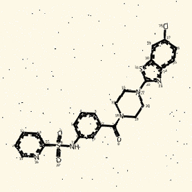 O=C(c1cccc(NS(=O)(=O)c2ccccn2)c1)N1CCN(c2nc3ccc(Cl)cc3s2)CC1